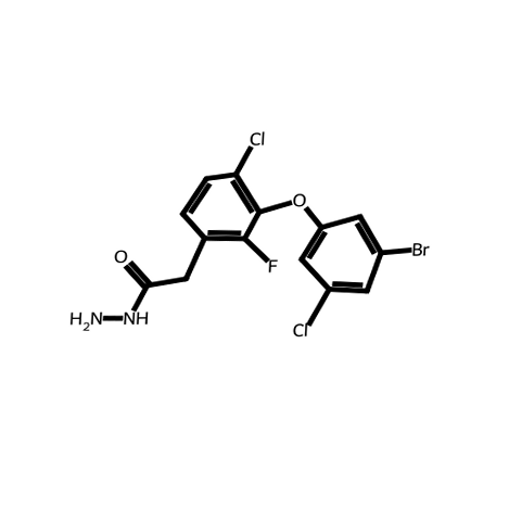 NNC(=O)Cc1ccc(Cl)c(Oc2cc(Cl)cc(Br)c2)c1F